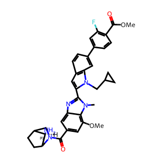 COC(=O)c1ccc(-c2ccc3cc(-c4nc5cc(C(=O)N6CC7CCC6[C@@H]7N)cc(OC)c5n4C)n(CC4CC4)c3c2)cc1F